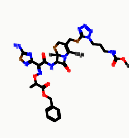 CC(ON=C(C(=O)NC1C(=O)N2C(C(=O)O)=C(CSc3nnnn3CCCNC(=O)OC(C)(C)C)CS[C@@H]12)c1nsc(N)n1)C(=O)OCc1ccccc1